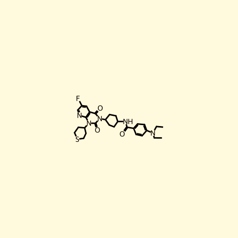 CCN(CC)c1ccc(C(=O)NC2CCC(n3c(=O)c4cc(F)cnc4n(C4CCSCC4)c3=O)CC2)cc1